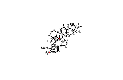 CN[C@@](C)(CO[C@H]1[C@H](n2nccc2-c2ccc(C(F)(F)F)cc2)C[C@@]23COC[C@]1(C)[C@@H]2CC[C@H]1C3=CC[C@@]2(C)[C@H](C(=O)O)[C@@](C)([C@H](C)C(C)C)CC[C@]12C)C(C)C